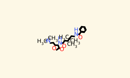 CC(CC(=O)NC1C(=O)COC1CCN(C)C)C(C)(C)CCNC(=O)c1ccccc1